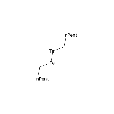 CCCCCC[Te][Te]CCCCCC